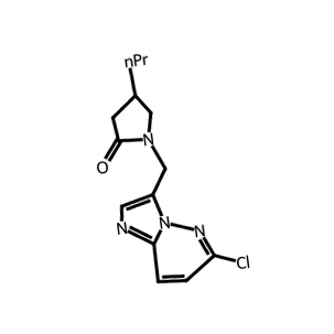 CCCC1CC(=O)N(Cc2cnc3ccc(Cl)nn23)C1